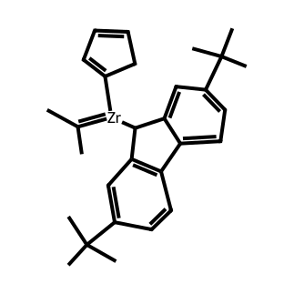 C[C](C)=[Zr]([C]1=CC=CC1)[CH]1c2cc(C(C)(C)C)ccc2-c2ccc(C(C)(C)C)cc21